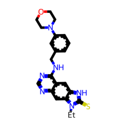 CCn1c(=S)[nH]c2cc3c(NCc4cccc(N5CCOCC5)c4)ncnc3cc21